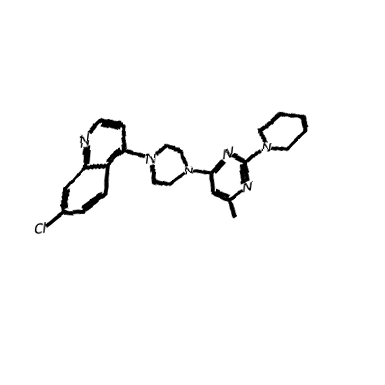 Cc1cc(N2CCN(c3ccnc4cc(Cl)ccc34)CC2)nc(N2CCCCC2)n1